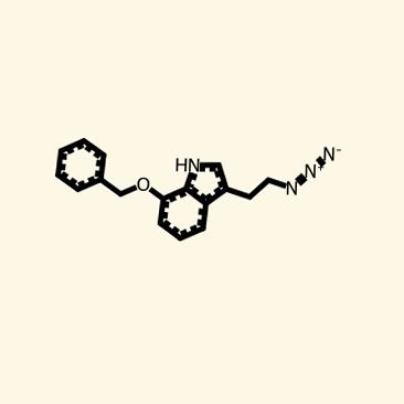 [N-]=[N+]=NCCc1c[nH]c2c(OCc3ccccc3)cccc12